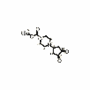 CC(C)(C)OC(=O)N1CCN(C2CC(=O)C(=O)C2)CC1